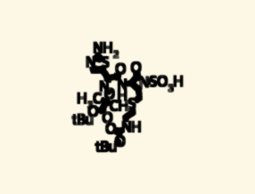 CC(C)(C)OC(=O)NCCSCC1C(NC(=O)/C(=N\OC(C)(C)C(=O)OC(C)(C)C)c2cnc(N)s2)C(=O)N1S(=O)(=O)O